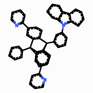 c1ccc(C23c4ccccc4C(c4cccc(-n5c6ccccc6c6ccccc65)c4)(c4ccc(-c5ccccn5)cc42)c2ccc(-c4ccccn4)cc23)cc1